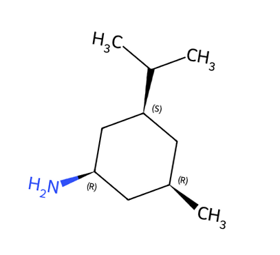 CC(C)[C@H]1C[C@@H](C)C[C@@H](N)C1